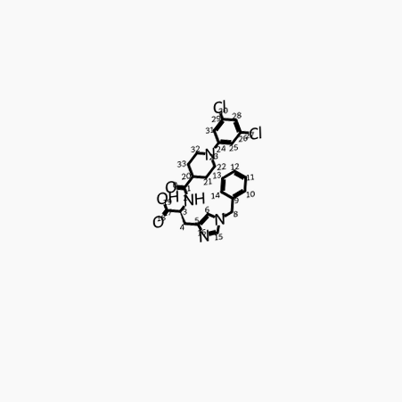 O=C(N[C@@H](Cc1cn(Cc2ccccc2)cn1)C(=O)O)C1CCN(c2cc(Cl)cc(Cl)c2)CC1